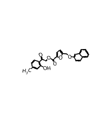 Cc1ccc(C(=O)COC(=O)c2ccc(COc3ccc4ccccc4c3)o2)c(O)c1